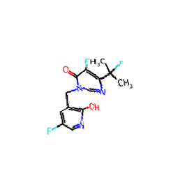 CC(C)(F)c1ncn(Cc2cc(F)cnc2O)c(=O)c1F